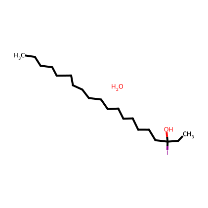 CCCCCCCCCCCCCCCCCC(O)(I)CC.O